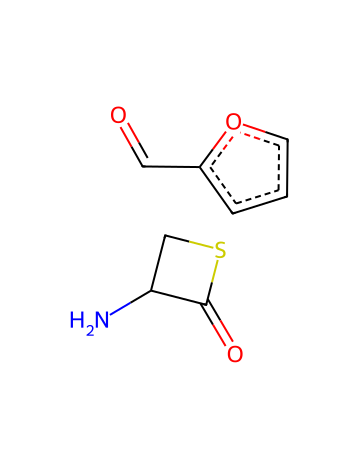 NC1CSC1=O.O=Cc1ccco1